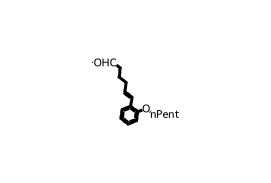 CCCCCOc1ccccc1C=CCCC[C]=O